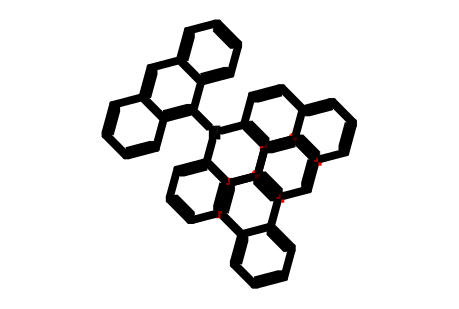 c1ccc(-c2ccccc2N(c2ccc3ccccc3c2-c2ccc3ccccc3c2)c2c3ccccc3cc3ccccc23)cc1